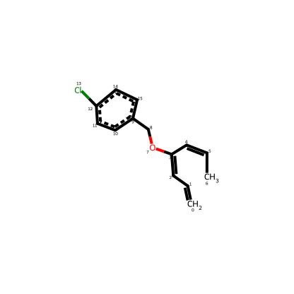 C=C/C=C(\C=C/C)OCc1ccc(Cl)cc1